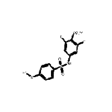 CCOc1ccc(S(=O)(=O)Nc2cc(F)c(C(=O)O)c(F)c2)cc1